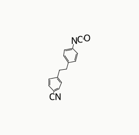 N#Cc1ccc(CCc2ccc(N=C=O)cc2)cc1